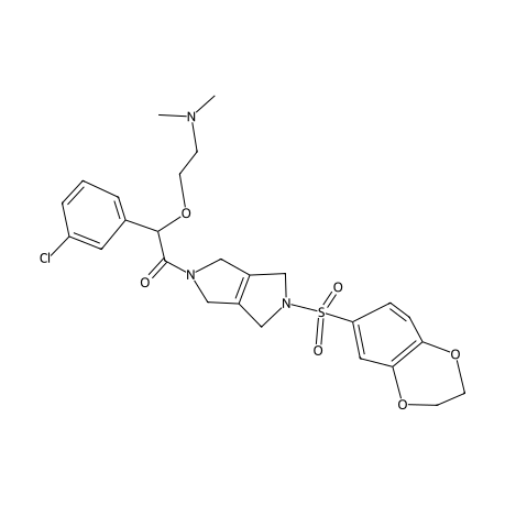 CN(C)CCOC(C(=O)N1CC2=C(C1)CN(S(=O)(=O)c1ccc3c(c1)OCCO3)C2)c1cccc(Cl)c1